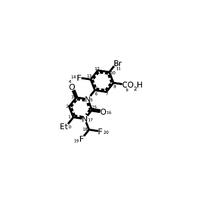 CCc1cc(=O)n(-c2cc(C(=O)O)c(Br)cc2F)c(=O)n1C(F)F